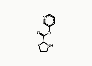 O=C(Oc1cccnc1)[C@H]1NCCS1